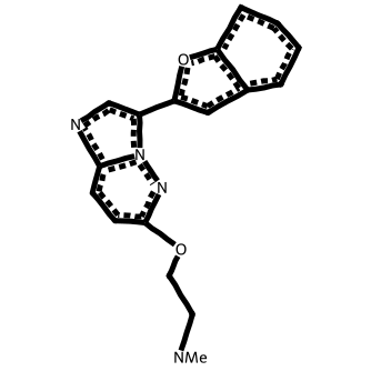 CNCCOc1ccc2ncc(-c3cc4ccccc4o3)n2n1